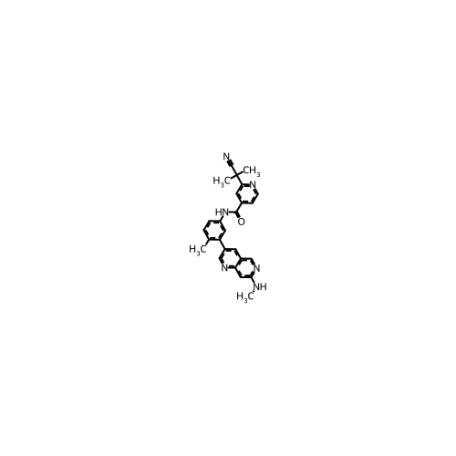 CNc1cc2ncc(-c3cc(NC(=O)c4ccnc(C(C)(C)C#N)c4)ccc3C)cc2cn1